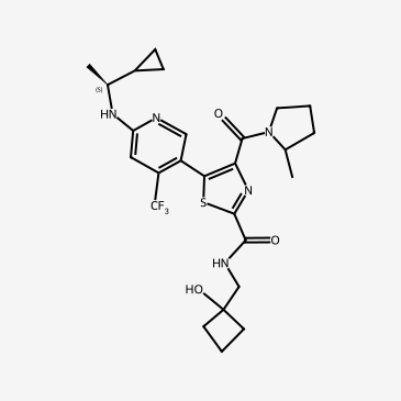 CC1CCCN1C(=O)c1nc(C(=O)NCC2(O)CCC2)sc1-c1cnc(N[C@@H](C)C2CC2)cc1C(F)(F)F